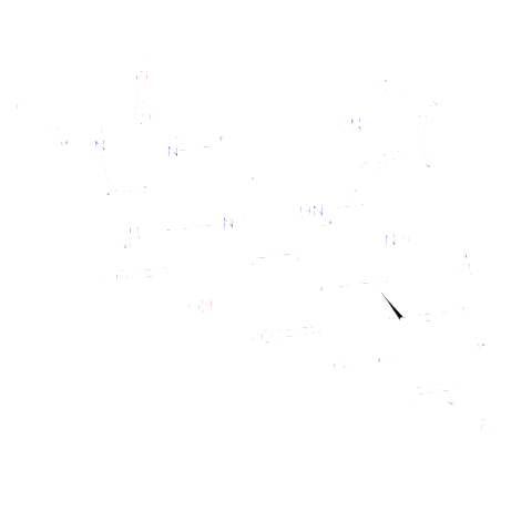 COC(=O)C1=C(CN2CCN3C(=O)N(C(C)(C)C)C[C@@H]3[C@H]2C(=O)O)NC(c2nccs2)=N[C@H]1c1ccc(F)cc1Cl